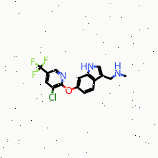 CNCc1c[nH]c2cc(Oc3ncc(C(F)(F)F)cc3Cl)ccc12